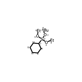 CCCCO[Si](OCC)(OCC)C1CCCCC1